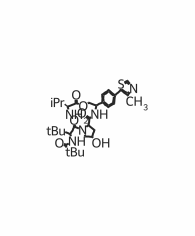 Cc1ncsc1-c1ccc(C(COC(=O)[C@@H](N)C(C)C)NC(=O)C2CC(O)CN2C(=O)C(NC(=O)C(C)(C)C)C(C)(C)C)cc1